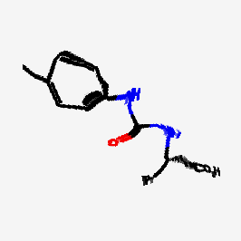 Cc1ccc(NC(=O)N[C@H](C(=O)O)C(C)C)cc1